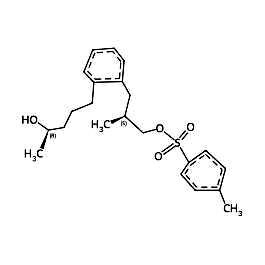 Cc1ccc(S(=O)(=O)OC[C@@H](C)Cc2ccccc2CCC[C@@H](C)O)cc1